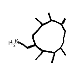 CC1CCC(C)C(C)C(C)C(CN)CC(C)C1C